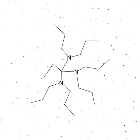 [CH2]CC(N(CCC)CCC)(N(CCC)CCC)N(CCC)CCC